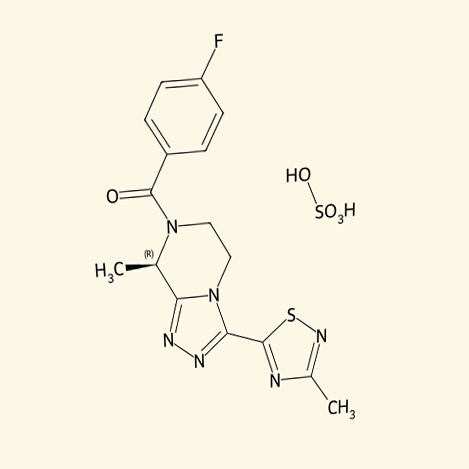 Cc1nsc(-c2nnc3n2CCN(C(=O)c2ccc(F)cc2)[C@@H]3C)n1.O=S(=O)(O)O